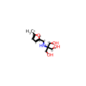 Cc1ccc(CNC(CO)(CO)CO)o1